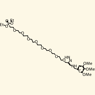 CCOP(=O)(CCOCCOCCOCCOCCOCCOCCOCCOC/C(=C/NCc1cc(OC)c(OC)c(OC)c1)N=N)OCC